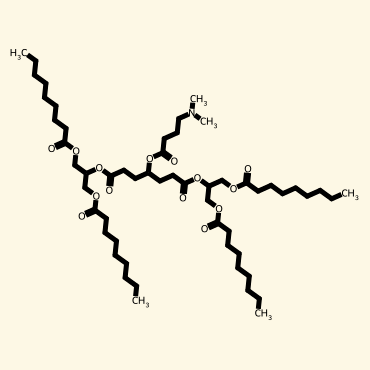 CCCCCCCCC(=O)OCC(COC(=O)CCCCCCCC)OC(=O)CCC(CCC(=O)OC(COC(=O)CCCCCCCC)COC(=O)CCCCCCCC)OC(=O)CCCN(C)C